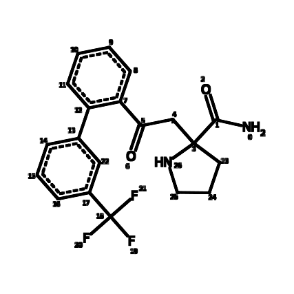 NC(=O)C1([CH]C(=O)c2ccccc2-c2cccc(C(F)(F)F)c2)CCCN1